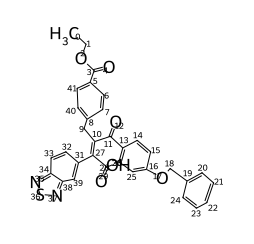 CCOC(=O)c1ccc(CC(C(=O)c2ccc(OCc3ccccc3)cc2)=C(C(=O)O)c2ccc3nsnc3c2)cc1